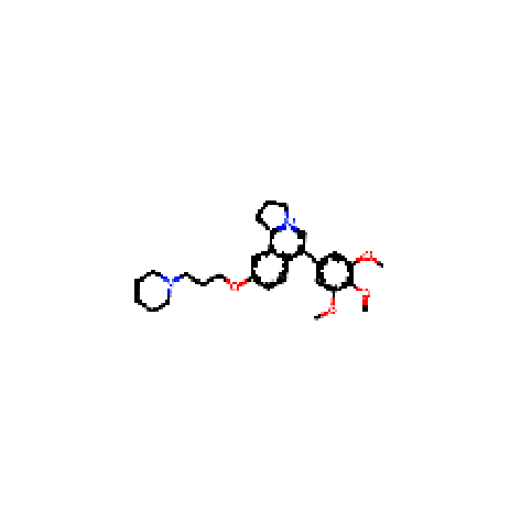 COc1cc(-c2c[n+]3c(c4cc(OCCCN5CCCCC5)ccc24)CCC3)cc(OC)c1OC